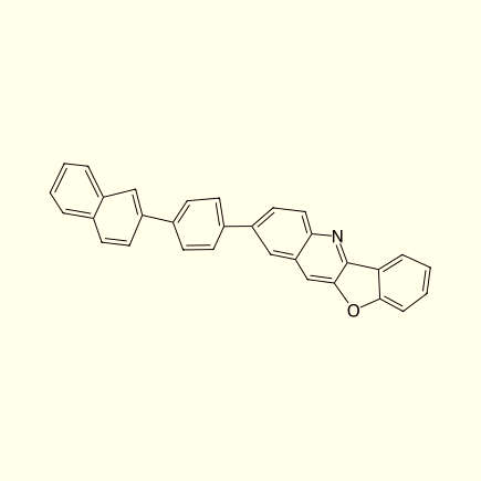 c1ccc2cc(-c3ccc(-c4ccc5nc6c(cc5c4)oc4ccccc46)cc3)ccc2c1